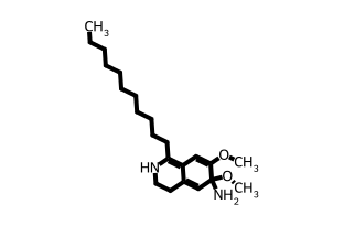 CCCCCCCCCCCC1=C2C=C(OC)C(N)(OC)C=C2CCN1